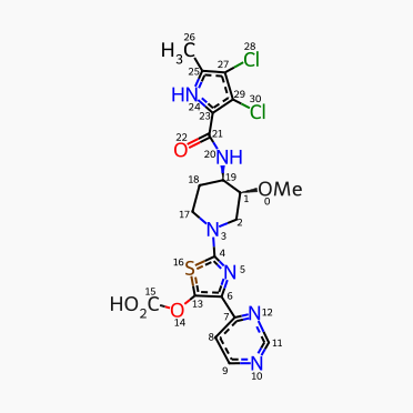 CO[C@H]1CN(c2nc(-c3ccncn3)c(OC(=O)O)s2)CC[C@H]1NC(=O)c1[nH]c(C)c(Cl)c1Cl